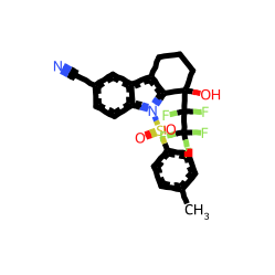 Cc1ccc(S(=O)(=O)n2c3c(c4cc(C#N)ccc42)CCCC3(O)C(F)(F)C(F)(F)F)cc1